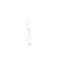 CN(Cc1cccc(-c2cnc(N3CCN(c4ncccc4COCC(=O)O)CC3)nc2)c1)C(=O)CNC(=O)OC(C)(C)C